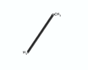 BB=BB=BB=BB=BB=BB=BB=BB=BB=BB=BB=BB=BB=BB=BB=BB=BB=BB=BB=BB=BB=BOCCC